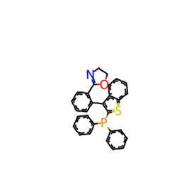 c1ccc(P(c2ccccc2)c2sc3ccccc3c2-c2ccccc2C2=NCCO2)cc1